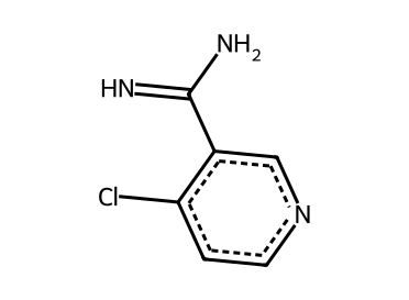 N=C(N)c1cnccc1Cl